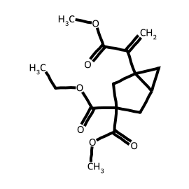 C=C(C(=O)OC)C12CC1CC(C(=O)OC)(C(=O)OCC)C2